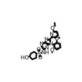 CCOc1cccc(-c2nc3ncc(NS(=O)(=O)[C@H]4CC[C@@H](O)CC4)nc3n2-c2c(OC)cccc2OC)n1